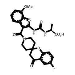 COc1cccc2c(C(=O)N3CCC4(CC3)CC(=O)c3cc(F)ccc3O4)c(NC(=O)N[C@@H](C)C(=O)O)sc12